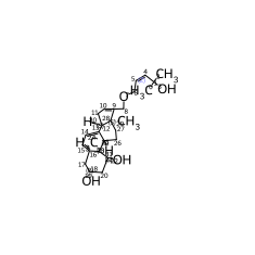 CC(C)(O)/C=C\COCC1=CC[C@H]2C3=CC=C4C[C@@H](O)C[C@H](O)[C@]4(C)[C@H]3CC[C@]12C